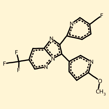 COc1ccc(-c2c(-c3ccc(F)cn3)nc3cc(C(F)(F)F)cnn23)cn1